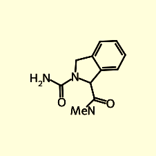 CNC(=O)C1c2ccccc2CN1C(N)=O